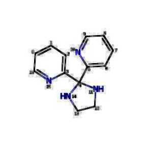 c1ccc(C2(c3ccccn3)NCCN2)nc1